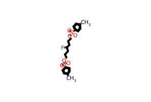 Cc1ccc(S(=O)(=O)OCCCC(F)CCCOS(=O)(=O)c2ccc(C)cc2)cc1